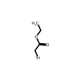 [2H]CC(=O)OCC